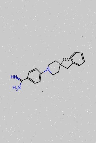 COC1(Cc2ccccc2)CCN(c2ccc(C(=N)N)cc2)CC1